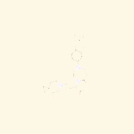 COC(=O)C(CCN1CCC2(CC2)C(O)C1)N1CCN(c2ccc(OC(F)(F)F)cc2)CCC1=O